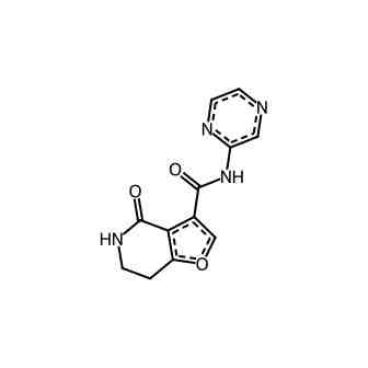 O=C(Nc1cnccn1)c1coc2c1C(=O)NCC2